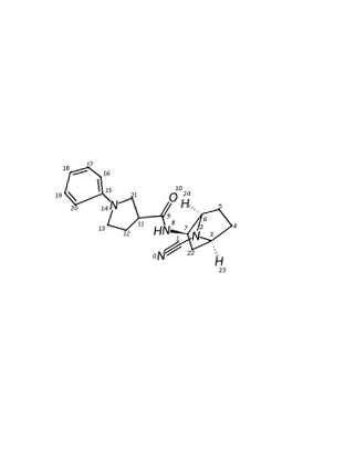 N#CN1[C@H]2CC[C@@H]1[C@H](NC(=O)C1CCN(c3ccccc3)C1)C2